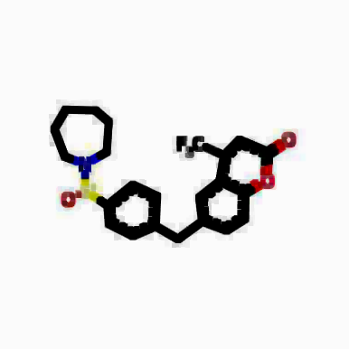 O=c1cc(C(F)(F)F)c2cc(Cc3ccc([S+]([O-])N4CCCCCC4)cc3)ccc2o1